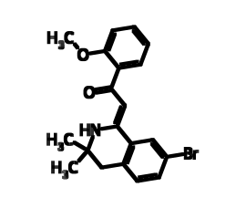 COc1ccccc1C(=O)/C=C1\NC(C)(C)Cc2ccc(Br)cc21